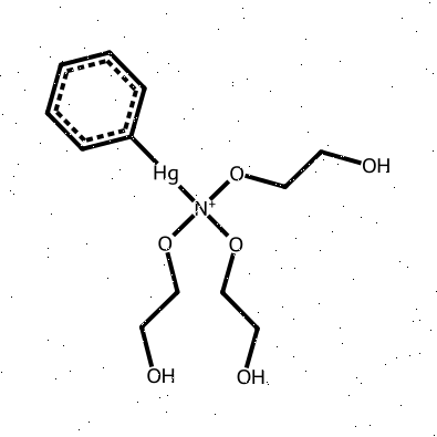 OCCO[N+](OCCO)(OCCO)[Hg][c]1ccccc1